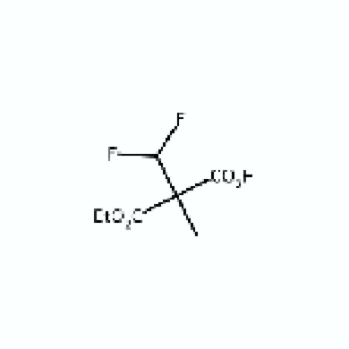 CCOC(=O)C(C)(C(=O)O)C(F)F